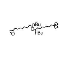 CCCCC(CCCCCCCC1CCO1)OC(CCCC)CCCCCCCC1CCO1